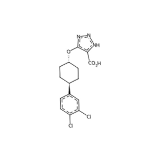 O=C(O)c1[nH]nnc1O[C@H]1CC[C@H](c2ccc(Cl)c(Cl)c2)CC1